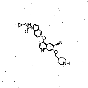 N#Cc1cc2c(Oc3ccc4c(ccn4C(=O)NC4CC4)c3)ccnc2cc1OCC1CCNCC1